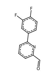 O=Cc1cccc(-c2ccc(F)c(F)c2)n1